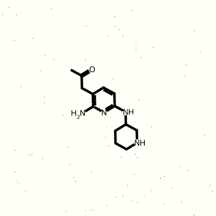 CC(=O)Cc1ccc(NC2CCCNC2)nc1N